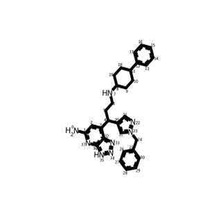 Nc1cc(C(CCNC2CCC(c3ccccc3)CC2)c2cnn(Cc3ccccc3)c2)c2nn[nH]c2n1